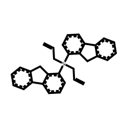 C=CC[Si](CC=C)(c1cccc2c1Cc1ccccc1-2)c1cccc2c1Cc1ccccc1-2